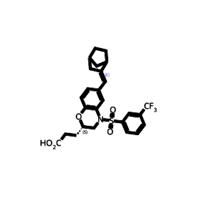 O=C(O)CC[C@H]1CN(S(=O)(=O)c2cccc(C(F)(F)F)c2)c2cc(/C=C3\CC4CCC3C4)ccc2O1